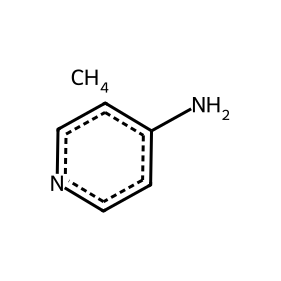 C.Nc1ccncc1